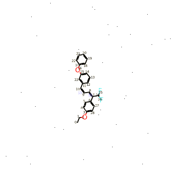 CCOc1ccc(/C(=C\C=C/c2cccc(Oc3ccccc3)c2)C(F)F)cc1